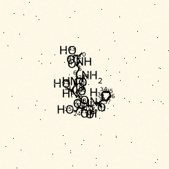 CC(NC(=O)CCC(NC(=O)C(CO)NC(=O)CO[C@@H]([C@H](O)[C@H](O)CO)[C@H](C=O)NC(=O)c1ccccc1)C(N)=O)C(=O)O